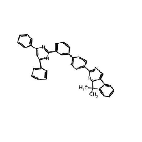 CC1(C)c2ccccc2-c2cnc(-c3ccc(-c4cccc(-c5nc(-c6ccccc6)cc(-c6ccccc6)n5)c4)cc3)nc21